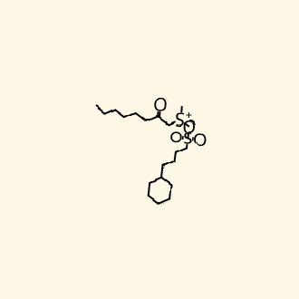 CCCCCCC(=O)C[S+](C)OS(=O)(=O)CCCCC1CCCCC1